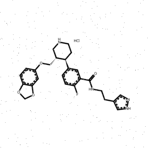 Cl.O=C(NCCc1cn[nH]c1)c1cc([C@@H]2CCNC[C@H]2COc2ccc3c(c2)OCO3)ccc1F